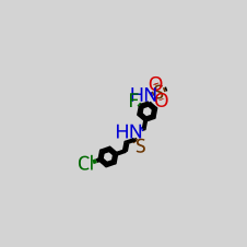 CS(=O)(=O)Nc1ccc(CNC(=S)/C=C/c2ccc(Cl)cc2)cc1F